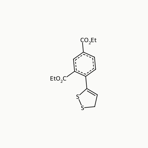 CCOC(=O)c1ccc(C2=CCSS2)c(C(=O)OCC)c1